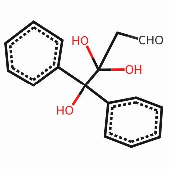 O=CCC(O)(O)C(O)(c1ccccc1)c1ccccc1